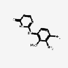 COc1c(Nc2nccc(=O)[nH]2)ccc(N)c1N